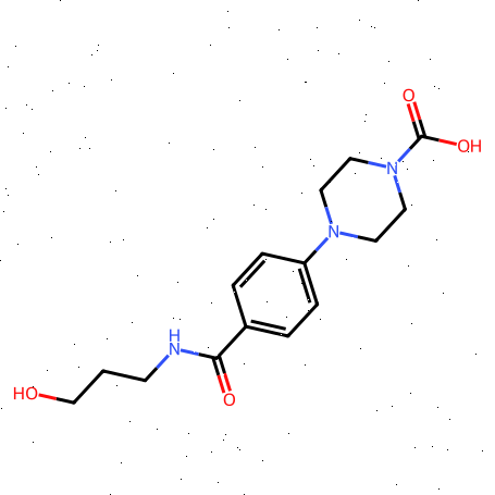 O=C(NCCCO)c1ccc(N2CCN(C(=O)O)CC2)cc1